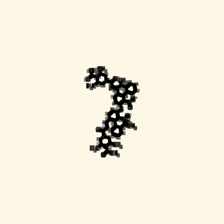 CC(=O)N1C(C)CN(C(=O)/C=C/c2ccc(Sc3ccc(/C=C/C(=O)N4CC(C)N(C(C)=O)C(C)C4)c(-c4ccccc4C(C)C)c3[N+](=O)[O-])c([N+](=O)[O-])c2-c2ccccc2C(C)C)CC1C